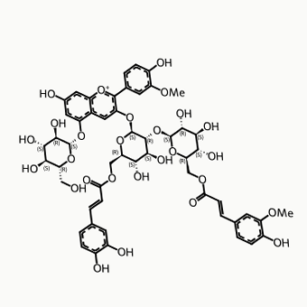 COc1cc(C=CC(=O)OC[C@H]2O[C@@H](O[C@H]3[C@H](Oc4cc5c(O[C@@H]6O[C@H](CO)[C@@H](O)[C@H](O)[C@H]6O)cc(O)cc5[o+]c4-c4ccc(O)c(OC)c4)O[C@H](COC(=O)C=Cc4ccc(O)c(O)c4)[C@@H](O)[C@@H]3O)[C@H](O)[C@@H](O)[C@@H]2O)ccc1O